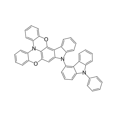 c1ccc(-n2c3ccccc3c3c(-n4c5ccccc5c5c6c7c(cc54)Oc4ccccc4N7c4ccccc4O6)cccc32)cc1